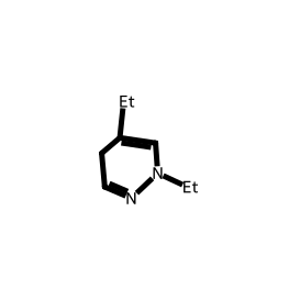 CCC1=CN(CC)N=CC1